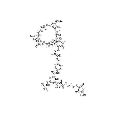 COc1cc2cc(c1Cl)N(C)C(=O)C[C@H](OC(=O)[C@H](C)N(C)C(=O)CCN(C)C(=O)OCc1ccc(NC(=O)[C@H](CCCNC(N)=O)NC(=O)[C@@H](NC(=O)CCCCCN3C(=O)CC(C(C)(C)C)C3=O)C(C)C)cc1)[C@]1(C)O[C@H]1[C@H](C)[C@@H]1C[C@@](O)(NC(=O)O1)[C@H](OC)/C=C/C=C(\C)C2